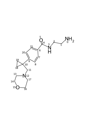 NCCNC(=O)c1ccc(C2(CN3CCOCC3)CC2)cc1